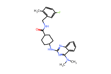 Cc1ccc(F)cc1CNC(=O)C1CCC(Nc2nc(N(C)C)c3ccccc3n2)CC1